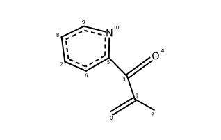 C=C(C)C(=O)c1ccccn1